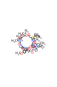 CC[C@H](C)[C@@H]1NC(=O)[C@@H](NC(=O)[C@@H](CC(C)C)N(C)C(=O)[C@@H]2CCCN2C(=O)C(C)=O)[C@@H](C)OC(=O)[C@H](Cc2ccc(OC)cc2)N(C)C(=O)[C@@H]2CCCN2C(=O)[C@H](CC(C)C)NC(=O)[C@@H](C)C(=O)[C@H](C(C)C)OC(=O)C[C@@H]1SSC(C)C